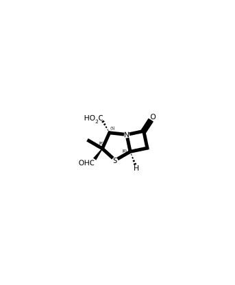 C[C@@]1(C=O)S[C@@H]2CC(=O)N2[C@H]1C(=O)O